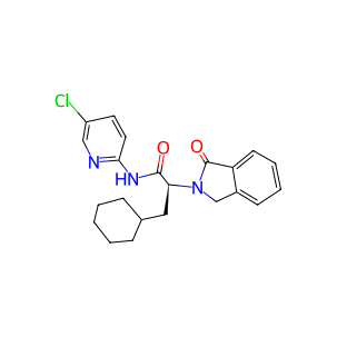 O=C(Nc1ccc(Cl)cn1)[C@H](CC1CCCCC1)N1Cc2ccccc2C1=O